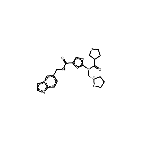 O=C(NCc1ccc2nccn2c1)c1cnc(N(C[C@@H]2CCCO2)C(=O)C2CCOC2)s1